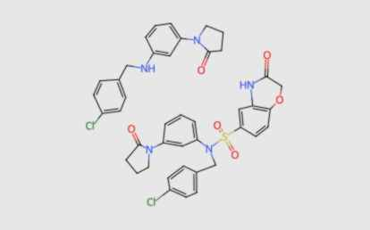 O=C1CCCN1c1cccc(NCc2ccc(Cl)cc2)c1.O=C1COc2ccc(S(=O)(=O)N(Cc3ccc(Cl)cc3)c3cccc(N4CCCC4=O)c3)cc2N1